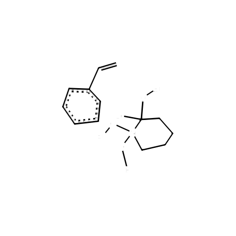 C=Cc1ccccc1.CCOC1(CC)CCCC[Si]1(OCC)OCC